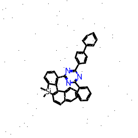 C[Si]1(C)c2cccc(-c3nc(-c4ccccc4)nc(-c4ccc(-c5ccccc5)cc4)n3)c2-c2c1ccc1ccccc21